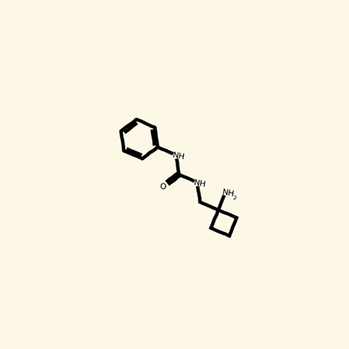 NC1(CNC(=O)Nc2ccccc2)CCC1